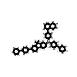 CC1(C)c2cc(-c3ccc(-c4ccccc4)cc3)ccc2-c2ccc(N(c3ccc(-c4ccccc4)cc3)c3ccc(-c4cccc5ccccc45)cc3)cc21